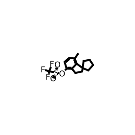 Cc1ccc(OS(=O)(=O)C(F)(F)F)c2c1C1(CCCC1)CC2